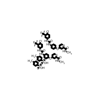 CNC(=O)c1cc(Oc2ccc(NC(=O)Nc3ccc(Cl)c(C(F)(F)F)c3)cc2)ccn1.CNC(=O)c1cc(Oc2ccc(NC(=O)Nc3ccc(Cl)c(C(F)(F)F)c3)cc2)ccn1.Cc1ccc(S(=O)(=O)O)cc1.Cc1ccc(S(=O)(=O)O)cc1